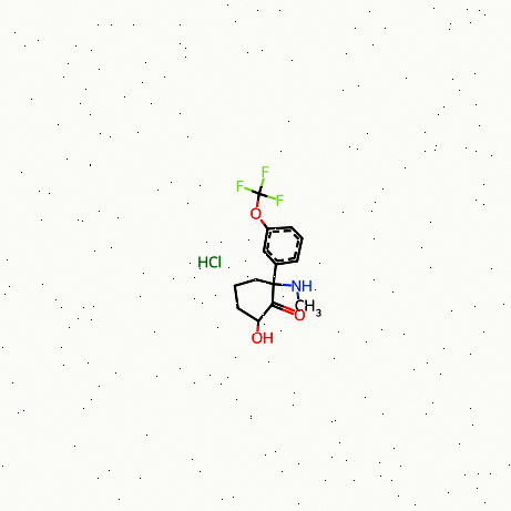 CNC1(c2cccc(OC(F)(F)F)c2)CCCC(O)C1=O.Cl